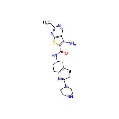 Cc1ncc2c(N)c(C(=O)NC3CCc4nc(N5CCNCC5)ccc4C3)sc2n1